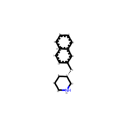 c1ccc2cc(C[C@H]3CCCNC3)ccc2c1